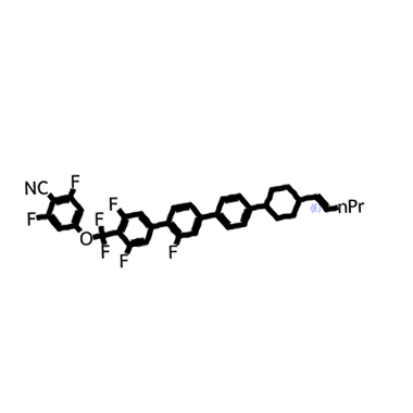 CCC/C=C/C1CCC(c2ccc(-c3ccc(-c4cc(F)c(C(F)(F)Oc5cc(F)c(C#N)c(F)c5)c(F)c4)c(F)c3)cc2)CC1